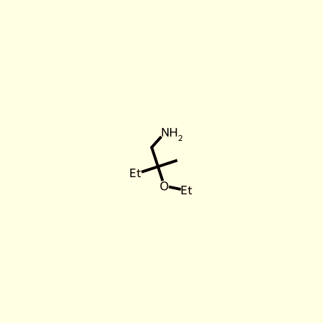 CCOC(C)(CC)CN